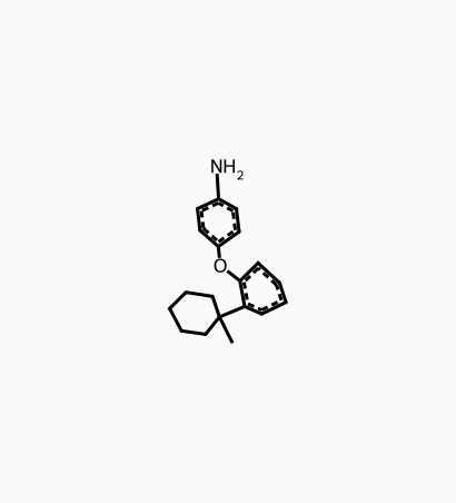 CC1(c2ccccc2Oc2ccc(N)cc2)CCCCC1